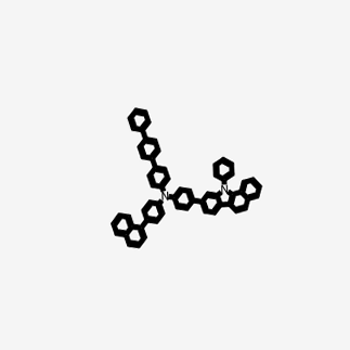 c1ccc(-c2ccc(-c3ccc(N(c4ccc(-c5ccc6c7ccc8ccccc8c7n(-c7ccccc7)c6c5)cc4)c4ccc(-c5cccc6ccccc56)cc4)cc3)cc2)cc1